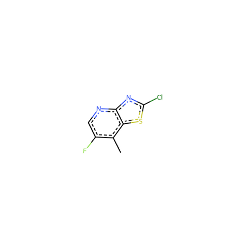 Cc1c(F)cnc2nc(Cl)sc12